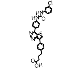 O=C(O)CCCc1ccc(-c2csc3c(-c4ccc(NC(=O)Nc5cccc(Cl)c5)cc4)ncnc23)cc1